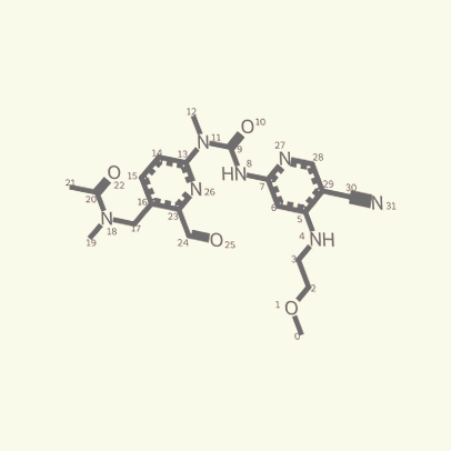 COCCNc1cc(NC(=O)N(C)c2ccc(CN(C)C(C)=O)c(C=O)n2)ncc1C#N